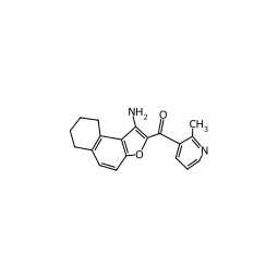 Cc1ncccc1C(=O)c1oc2ccc3c(c2c1N)CCCC3